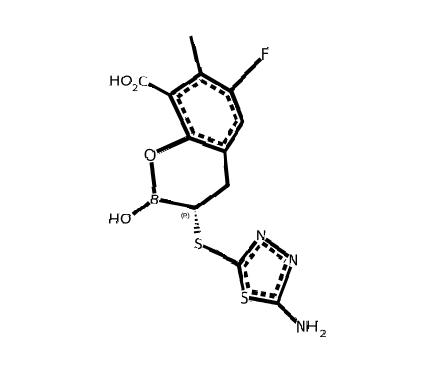 Cc1c(F)cc2c(c1C(=O)O)OB(O)[C@@H](Sc1nnc(N)s1)C2